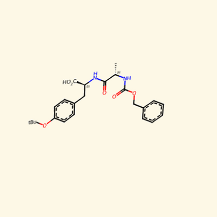 C[C@H](NC(=O)OCc1ccccc1)C(=O)N[C@@H](Cc1ccc(OC(C)(C)C)cc1)C(=O)O